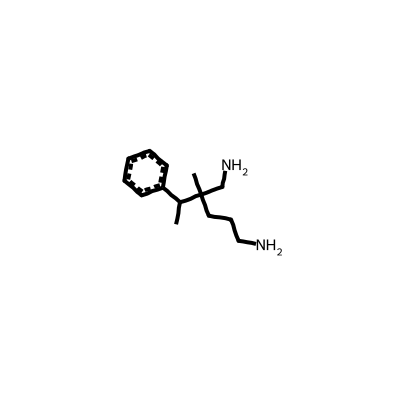 CC(c1ccccc1)C(C)(CN)CCCN